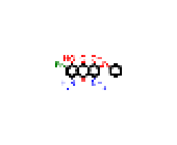 Nc1cc(Br)c(O)c2c1C(=O)c1c(N)cc(Oc3ccccc3)c(O)c1C2=O